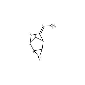 CC=C1CC2CC1C1OC21